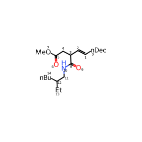 CCCCCCCCCCC=CC(CC(=O)OC)C(=O)NCC(CC)CCCC